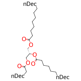 CCCCCCCCCCCCCCCCCC(=O)OC[C@@H](COC(=O)CCCCCCCCCCC)OC(=O)CCCCCCCCCCCCCCC